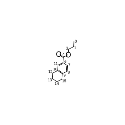 CCCOC(=O)c1ccc2c(c1)CCCC2